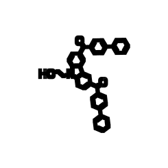 O=C(c1ccc(-c2ccccc2)cc1)c1ccc2c(c1)c1cc(C(=O)c3ccc(-c4ccccc4)cc3)ccc1n2CCO